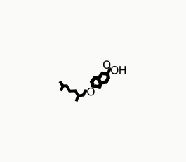 CC(C)CCCC(C)CCOc1ccc2cc(C(=O)O)ccc2c1